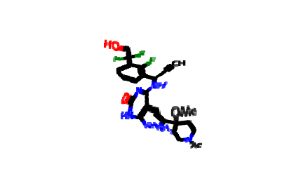 C#C[C@@H](Nc1nc(=O)[nH]c(N)c1/C=C(\N)C1(OC)CCN(C(C)=O)CC1)c1cccc(C(F)(F)CO)c1F